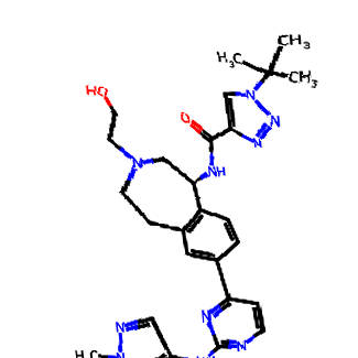 Cn1cc(Nc2nccc(-c3ccc4c(c3)CCN(CCO)C[C@H]4NC(=O)c3cn(C(C)(C)C)nn3)n2)cn1